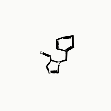 O=CC1CN=CN1Cc1ccccc1